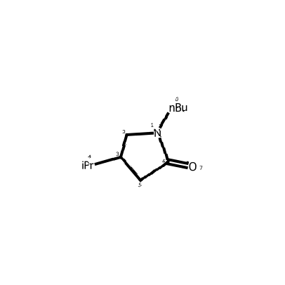 CCCCN1CC(C(C)C)CC1=O